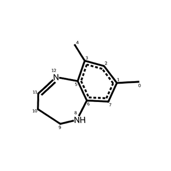 Cc1cc(C)c2c(c1)NCCC=N2